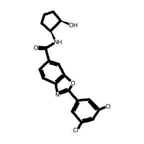 O=C(N[C@H]1CCC[C@H]1O)c1ccc2nc(-c3cc(Cl)cc(Cl)c3)oc2c1